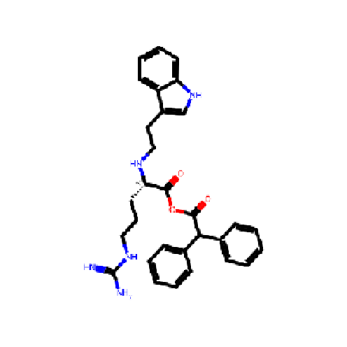 N=C(N)NCCC[C@H](NCCc1c[nH]c2ccccc12)C(=O)OC(=O)C(c1ccccc1)c1ccccc1